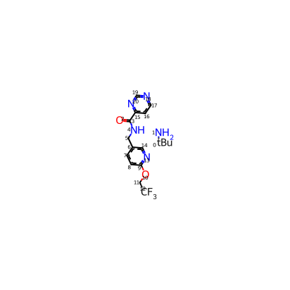 CC(C)(C)N.O=C(NCc1ccc(OCC(F)(F)F)nc1)c1ccncn1